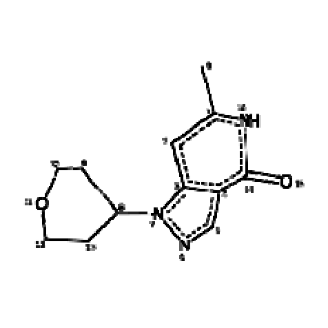 Cc1cc2c(cnn2C2CCOCC2)c(=O)[nH]1